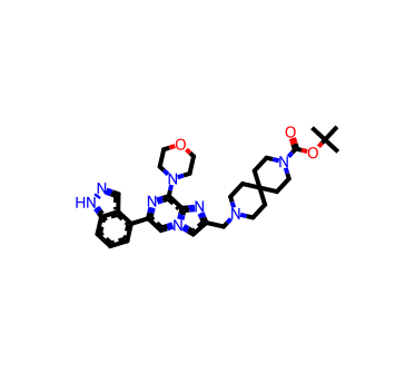 CC(C)(C)OC(=O)N1CCC2(CCN(Cc3cn4cc(-c5cccc6[nH]ncc56)nc(N5CCOCC5)c4n3)CC2)CC1